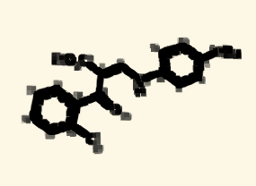 CCCCc1ccc(NC=C(C(=O)OCC)C(=O)c2ccccc2Cl)cc1